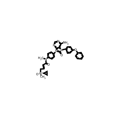 CN(C(=O)/C=C/C[N+](C)([O-])C1CC1)c1ccc(-n2c(=O)n(-c3ccc(Oc4ccccc4)cc3)c3c(N)ncnc32)cc1